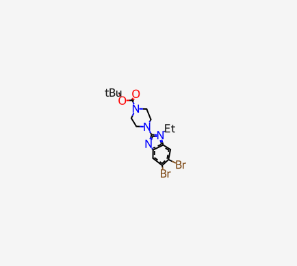 CCn1c(N2CCN(C(=O)OC(C)(C)C)CC2)nc2cc(Br)c(Br)cc21